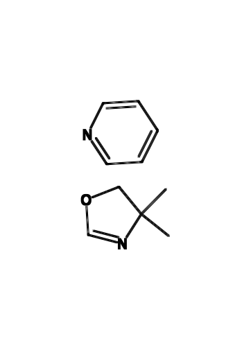 CC1(C)COC=N1.c1ccncc1